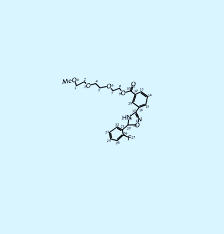 COCCOCCOCCOC(=O)c1cccc(C2=NOC(c3ccccc3F)N2)c1